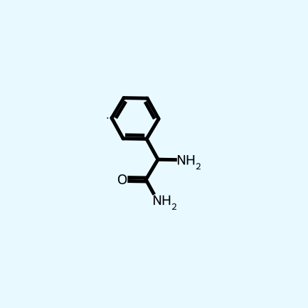 NC(=O)C(N)c1c[c]ccc1